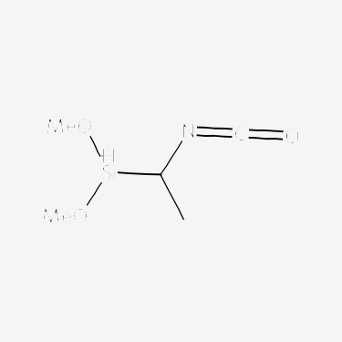 CO[SiH](OC)C(C)N=C=O